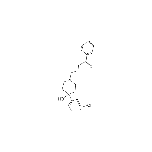 O=C(CCCN1CCC(O)(c2cccc(Cl)c2)CC1)c1ccccc1